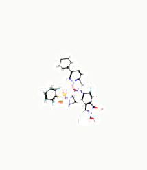 O=C(O)N1Cc2cc(N(Cc3ccc(C4CCCCC4)cn3)C(=O)[C@H]3CCN3S(=O)(=O)c3c(F)c(F)c(F)c(F)c3F)c(F)cc2C1=O